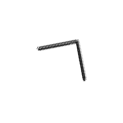 [V].[V].[V].[V].[V].[V].[V].[V].[V].[V].[V].[V].[V].[V].[V].[V].[V].[V].[V].[V].[V].[V].[V].[V].[V].[V].[V].[V].[V].[V].[V].[V].[V].[V].[V].[V].[V].[V].[V].[V].[V].[V].[V].[V].[V].[V].[V].[V].[V].[V].[V].[V].[V]